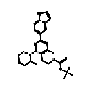 CC1COCCN1c1nc(-c2ccc3[nH]ccc3c2)nc2c1CCN(C(=O)OC(C)(C)C)C2